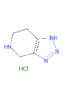 C1Cc2[nH]nnc2CN1.Cl